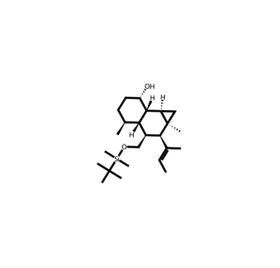 C/C=C(\C)[C@H]1[C@@H](CO[Si](C)(C)C(C)(C)C)[C@H]2[C@@H]([C@H]3C[C@]31C)[C@@H](O)CC[C@@H]2C